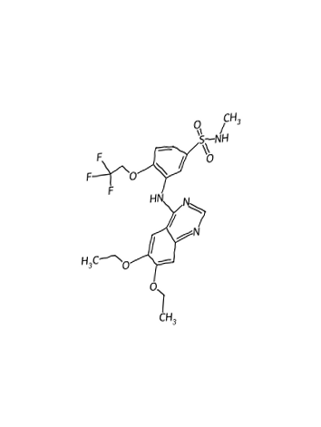 CCOc1cc2ncnc(Nc3cc(S(=O)(=O)NC)ccc3OCC(F)(F)F)c2cc1OCC